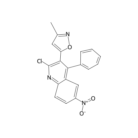 Cc1cc(-c2c(Cl)nc3ccc([N+](=O)[O-])cc3c2-c2ccccc2)on1